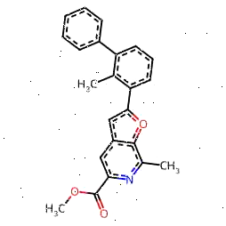 COC(=O)c1cc2cc(-c3cccc(-c4ccccc4)c3C)oc2c(C)n1